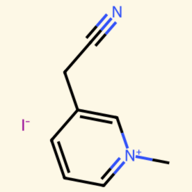 C[n+]1cccc(CC#N)c1.[I-]